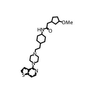 COC1CCC(CC(=O)NC2CCC(CCN3CCN(c4nccc5sccc45)CC3)CC2)C1